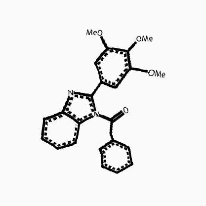 COc1cc(-c2nc3ccccc3n2C(=O)c2ccccc2)cc(OC)c1OC